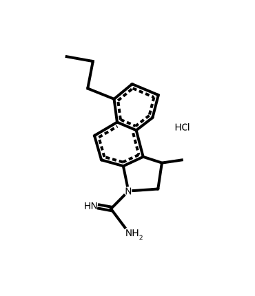 CCCc1cccc2c3c(ccc12)N(C(=N)N)CC3C.Cl